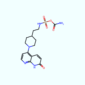 NC(=O)OS(=O)(=O)NCCC1CCN(c2ccnc3[nH]c(=O)ccc23)CC1